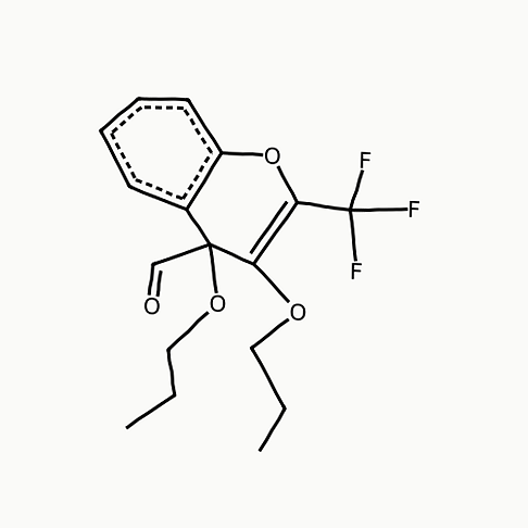 CCCOC1=C(C(F)(F)F)Oc2ccccc2C1(C=O)OCCC